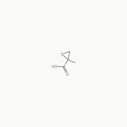 CC1(C(=O)O)CS1